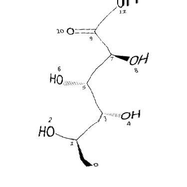 C[C@@H](O)[C@@H](O)[C@H](O)[C@H](O)C(=O)O